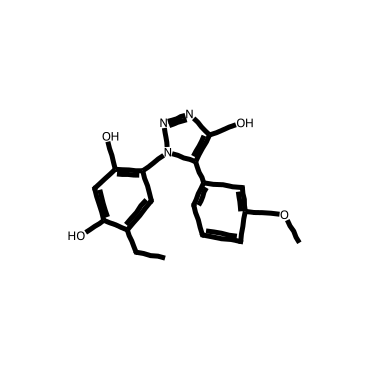 CCc1cc(-n2nnc(O)c2-c2cccc(OC)c2)c(O)cc1O